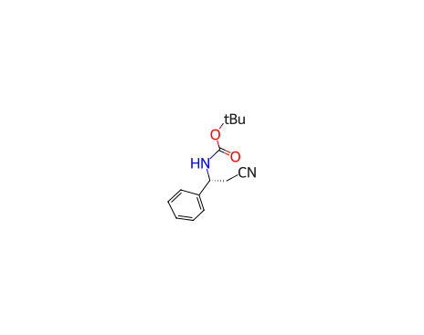 CC(C)(C)OC(=O)N[C@H](CC#N)c1ccccc1